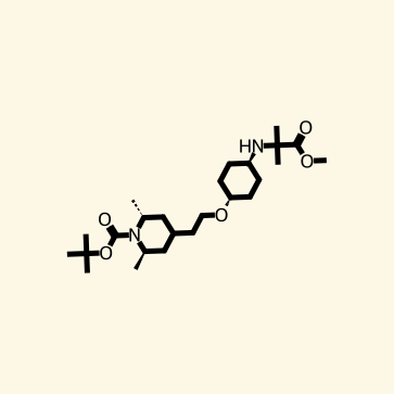 COC(=O)C(C)(C)N[C@H]1CC[C@H](OCCC2C[C@@H](C)N(C(=O)OC(C)(C)C)[C@H](C)C2)CC1